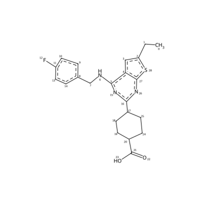 CCc1cc2c(NCc3ccc(F)cc3)nc(C3CCC(C(=O)O)CC3)nc2s1